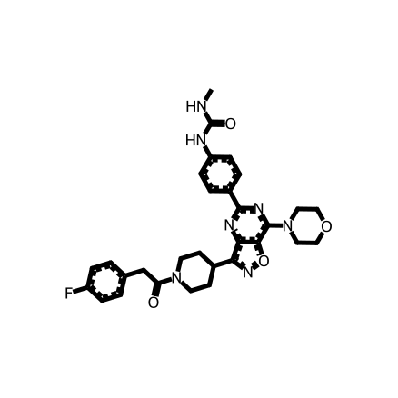 CNC(=O)Nc1ccc(-c2nc(N3CCOCC3)c3onc(C4CCN(C(=O)Cc5ccc(F)cc5)CC4)c3n2)cc1